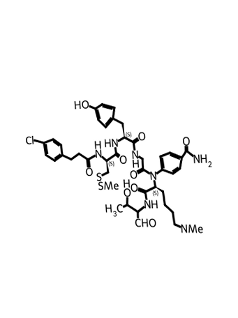 CNCCCC[C@@H](C(=O)NC(C=O)C(C)O)N(C(=O)CNC(=O)[C@H](Cc1ccc(O)cc1)NC(=O)[C@@H](CSSC)NC(=O)CCc1ccc(Cl)cc1)c1ccc(C(N)=O)cc1